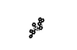 c1ccc(C2=NC(c3ccc(-c4ccccc4)c4ccccc34)NC(c3cccc4sc5c6c(ccc5c34)-c3cccc4cccc-6c34)=N2)cc1